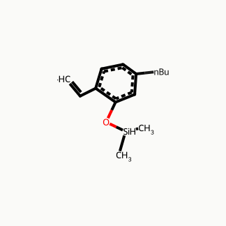 [CH]=Cc1ccc(CCCC)cc1O[SiH](C)C